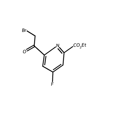 CCOC(=O)c1cc(F)cc(C(=O)CBr)n1